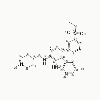 CCS(=O)(=O)c1cccc(-c2cnc(NCC3CCN(C)CC3)c3[nH]c4ncc(C)cc4c23)c1